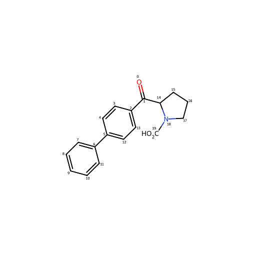 O=C(c1ccc(-c2ccccc2)cc1)C1CCCN1C(=O)O